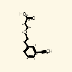 C#Cc1cccc(CCOCCC(=O)O)c1